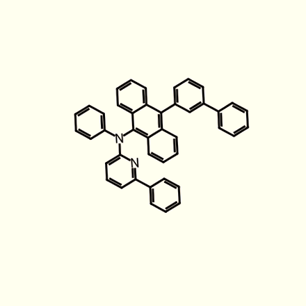 c1ccc(-c2cccc(-c3c4ccccc4c(N(c4ccccc4)c4cccc(-c5ccccc5)n4)c4ccccc34)c2)cc1